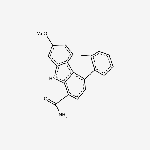 COc1ccc2c(c1)[nH]c1c(C(N)=O)ccc(-c3ccccc3F)c12